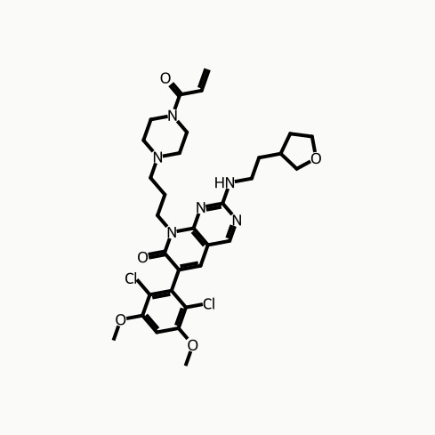 C=CC(=O)N1CCN(CCCn2c(=O)c(-c3c(Cl)c(OC)cc(OC)c3Cl)cc3cnc(NCCC4CCOC4)nc32)CC1